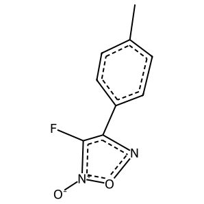 Cc1ccc(-c2no[n+]([O-])c2F)cc1